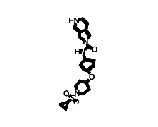 O=C(Nc1ccc(OC2CCN(S(=O)(=O)C3CC3)CC2)cc1)N1C=C2C=CNC=C2C1